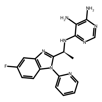 C[C@H](Nc1ncnc(N)c1N)c1nc2cc(F)ccc2n1-c1ccccn1